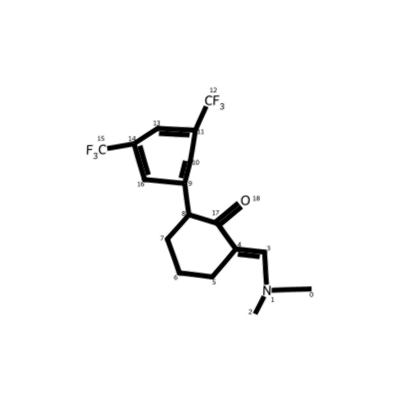 CN(C)C=C1CCCC(c2cc(C(F)(F)F)cc(C(F)(F)F)c2)C1=O